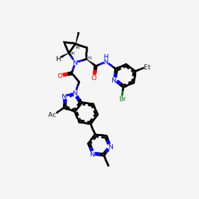 CCc1cc(Br)nc(NC(=O)[C@@H]2C[C@@]3(C)C[C@H]3N2C(=O)Cn2nc(C(C)=O)c3cc(-c4cnc(C)nc4)ccc32)c1